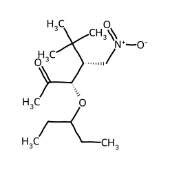 CCC(CC)O[C@H](C(C)=O)[C@@H](C[N+](=O)[O-])C(C)(C)C